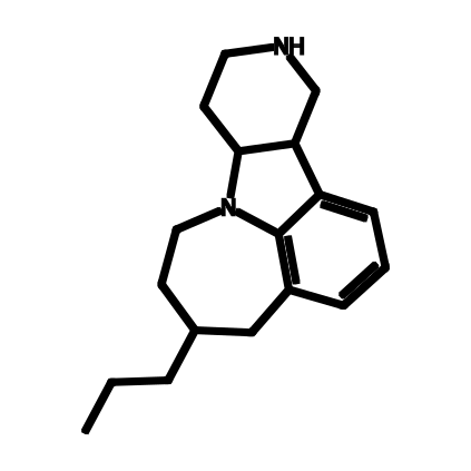 CCCC1CCN2c3c(cccc3C3CNCCC32)C1